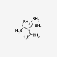 BC/C(B)=C1/C(=C(B)B)/C1=C(\B)CB